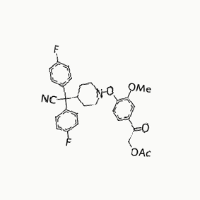 COc1cc(C(=O)COC(C)=O)ccc1ON1CCC(C(C#N)(c2ccc(F)cc2)c2ccc(F)cc2)CC1